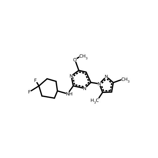 COc1cc(-n2nc(C)cc2C)nc(NC2CCC(F)(F)CC2)n1